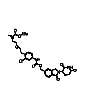 CN(CCOCCc1ccc(NC(=O)OCc2ccc3c(c2)CN(C2CCC(=O)NC2=O)C3=O)cc1Cl)C(=O)OC(C)(C)C